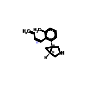 C=C/C=C\c1c(C)cccc1[C@]12CNC[C@H]1C2